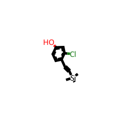 C[Si](C)(C)C#Cc1ccc(O)cc1Cl